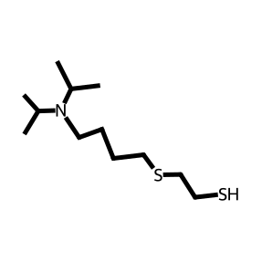 CC(C)N(CCCCSCCS)C(C)C